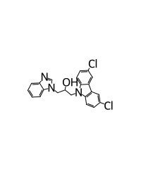 OC(Cn1cnc2ccccc21)Cn1c2ccc(Cl)cc2c2cc(Cl)ccc21